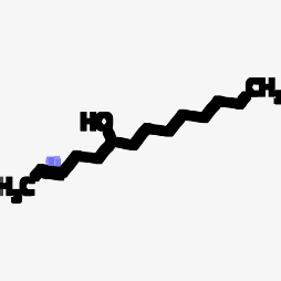 C/C=C/CCC(O)CCCCCCCC